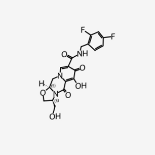 O=C(NCc1ccc(F)cc1F)c1cn2c(c(O)c1=O)C(=O)N1[C@@H](CO)CO[C@H]1C2